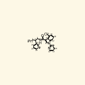 CC(C)CC(CNC(=O)c1cn(-c2ncccn2)c2cccc(Cl)c12)c1cccnc1